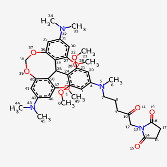 COc1cc(N(C)CCCC(=O)CN2C(=O)CCC2=O)cc(OC)c1C1c2c(OC)cc(N(C)C)cc2OCOc2cc(N(C)C)cc(OC)c21